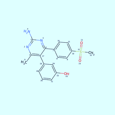 Cc1nc(N)nc(-c2ccc(S(C)(=O)=O)cc2)c1-c1cccc(O)c1